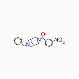 O=C(c1cccc([N+](=O)[O-])c1)N1CC2CC(CN(Cc3ccccc3)C2)C1